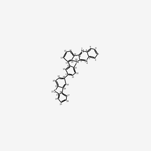 c1ccc2nc3c(nc2c1)c1cccc2c4cc(-c5ccc6sc7ccccc7c6c5)ccc4n3c21